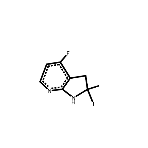 CC1(I)Cc2c(F)ccnc2N1